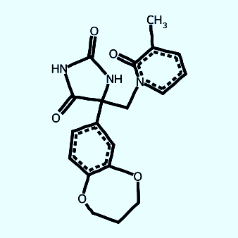 Cc1cccn(CC2(c3ccc4c(c3)OCCCO4)NC(=O)NC2=O)c1=O